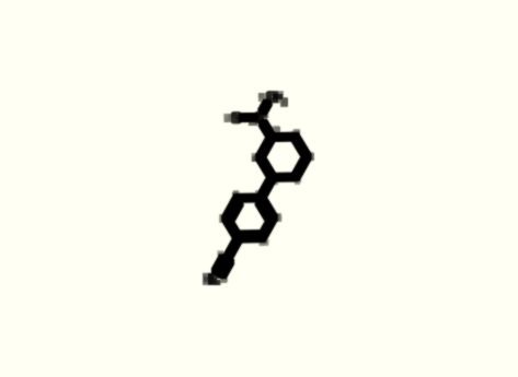 C#Cc1ccc(C2CCCC([S+](C)[O-])C2)cc1